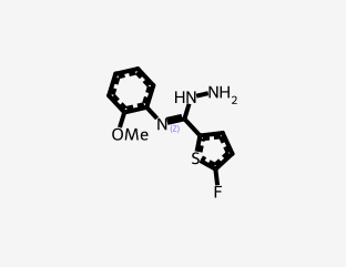 COc1ccccc1/N=C(\NN)c1ccc(F)s1